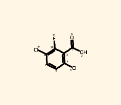 O=C(O)c1c(Cl)ccc(Cl)c1F